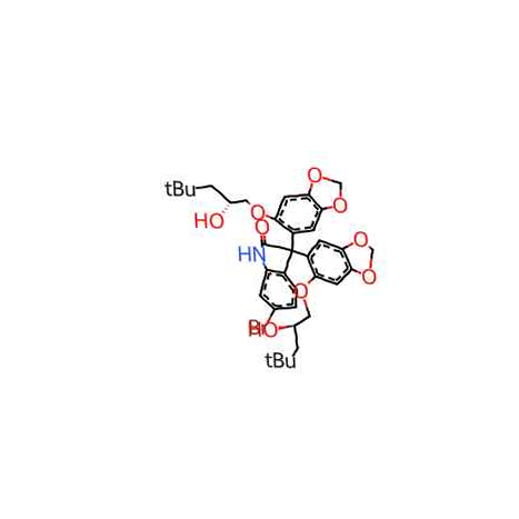 CC(C)(C)C[C@@H](O)COc1cc2c(cc1C1(c3cc4c(cc3OC[C@H](O)CC(C)(C)C)OCO4)C(=O)Nc3cc(Br)ccc31)OCO2